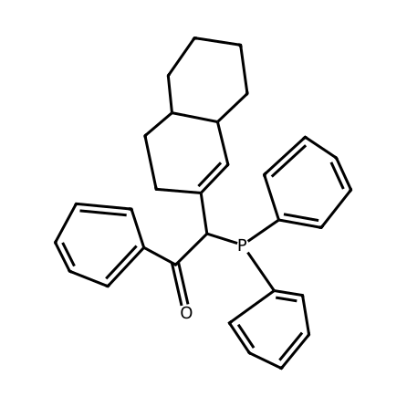 O=C(c1ccccc1)C(C1=CC2CCCCC2CC1)P(c1ccccc1)c1ccccc1